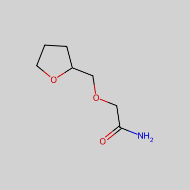 NC(=O)COCC1CCCO1